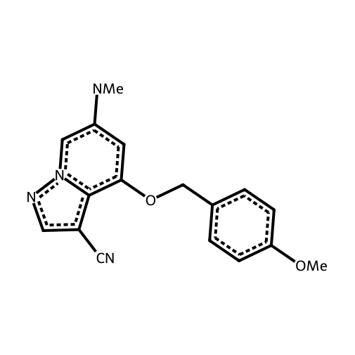 CNc1cc(OCc2ccc(OC)cc2)c2c(C#N)cnn2c1